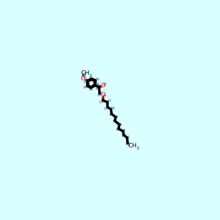 CCCCCCCCCCCCCCOCC(=O)c1ccc(OC)cc1